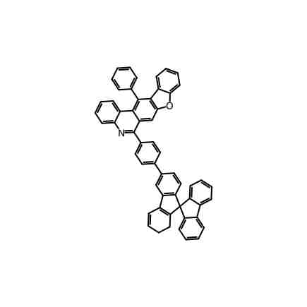 C1=CC2=C(CC1)C1(c3ccc(-c4ccc(-c5nc6ccccc6c6c(-c7ccccc7)c7c(cc56)oc5ccccc57)cc4)cc32)c2ccccc2-c2ccccc21